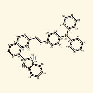 C(=Cc1ccc2cccc(-c3nc4ccccc4[nH]3)c2n1)c1ccc(N(c2ccccc2)c2ccccc2)cc1